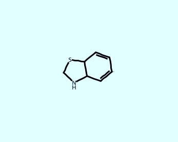 [C]1=CC2NCSC2C=C1